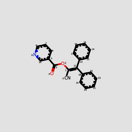 N#CC(OC(=O)c1cccnc1)=C(c1ccccc1)c1ccccc1